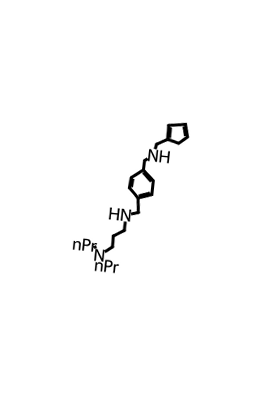 CCCN(CCC)CCCNCc1ccc(CNCC2=CC=CC2)cc1